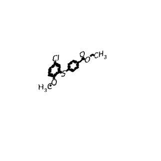 CCOC(=O)c1ccc(Sc2cc(Cl)ccc2OC)cc1